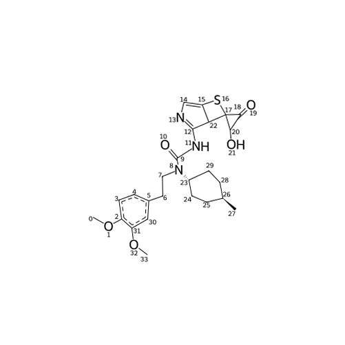 COc1ccc(CCN(C(=O)NC2=NC=C3SC4(C(=O)C4O)C32)[C@H]2CC[C@H](C)CC2)cc1OC